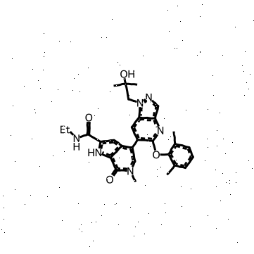 CCNC(=O)c1cc2c(-c3cc4c(cnn4CC(C)(C)O)nc3Oc3c(C)cccc3C)cn(C)c(=O)c2[nH]1